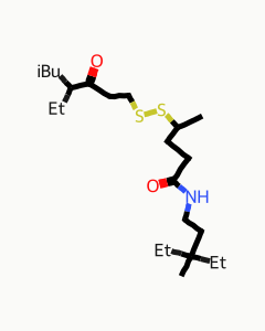 CCC(C)C(CC)C(=O)CCSSC(C)CCC(=O)NCCC(C)(CC)CC